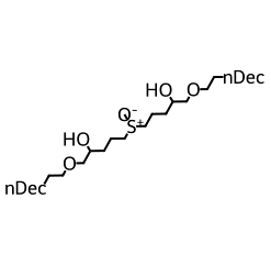 CCCCCCCCCCCCOCC(O)CCC[S+]([O-])CCCC(O)COCCCCCCCCCCCC